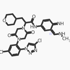 CN/C=C1/C=C(NC(=O)C(CC2CCOCC2)N2CC(=O)N(c3cc(Cl)ccc3-n3cc(Cl)nn3)CC2=O)C=CC1=N